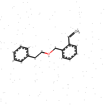 C=Cc1ccccc1COCCc1ccccc1